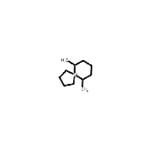 CC1CCCC(C)[N+]12CCCC2